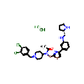 CC(=O)N(Sc1nc(-c2cccc(NC[C@@H]3CCCN3)c2)cs1)C1CCN(Cc2ccc(Cl)c(Cl)c2)CC1.Cl.Cl